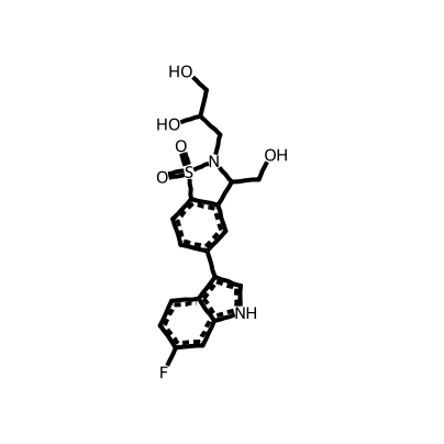 O=S1(=O)c2ccc(-c3c[nH]c4cc(F)ccc34)cc2C(CO)N1CC(O)CO